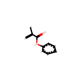 C=C(C)C(=O)Oc1[c]cccc1